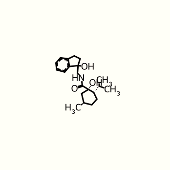 CC(C)[C@@H]1CC[C@@H](C)C[C@@]1(O)C(=O)NCC1(O)CCc2ccccc21